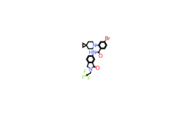 O=C(Nc1ccc2c(c1)C(=O)N(CC(F)(F)F)C2)c1ccc(Br)cc1N1CCC2(CC1)CC2